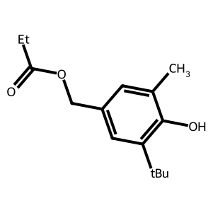 CCC(=O)OCc1cc(C)c(O)c(C(C)(C)C)c1